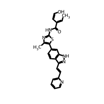 C/C=C(\C=C/O)C(=O)Nc1nc(C)c(-c2ccc3c(/C=C/c4ccccn4)n[nH]c3c2)s1